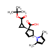 Cc1ccc(C)n1[C@@H]1C=C[C@@](C(=O)O)(C2CC2C(=O)OC(C)(C)C)C1